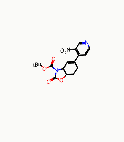 CC(C)(C)OC(=O)N1C(=O)OC2CCC(c3ccncc3[N+](=O)[O-])=CC21